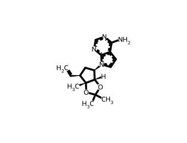 C=C[C@H]1C[C@@H](n2ccc3c(N)ncnc32)[C@@H]2OC(C)(C)O[C@]12C